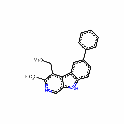 CCOC(=O)c1ncc2[nH]c3ccc(-c4ccccc4)cc3c2c1COC